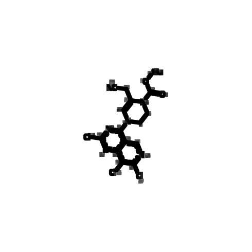 CC(C)(C)OC(=O)N1CCN(c2nc(Cl)nc3c(Cl)c(Cl)ncc23)C=C1CC#N